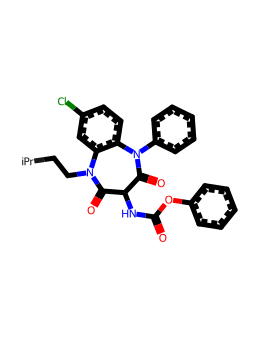 CC(C)CCN1C(=O)C(NC(=O)Oc2ccccc2)C(=O)N(c2ccccc2)c2ccc(Cl)cc21